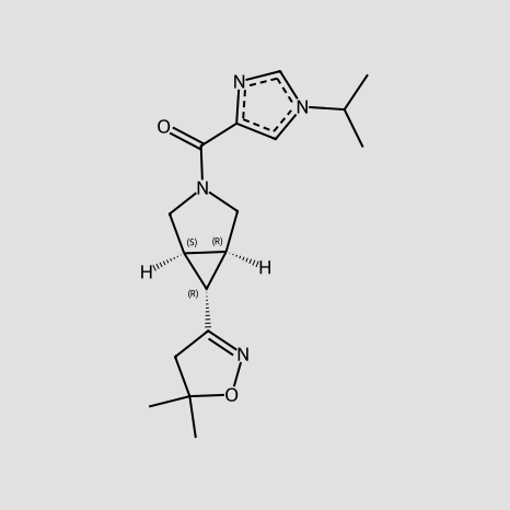 CC(C)n1cnc(C(=O)N2C[C@@H]3[C@H](C2)[C@H]3C2=NOC(C)(C)C2)c1